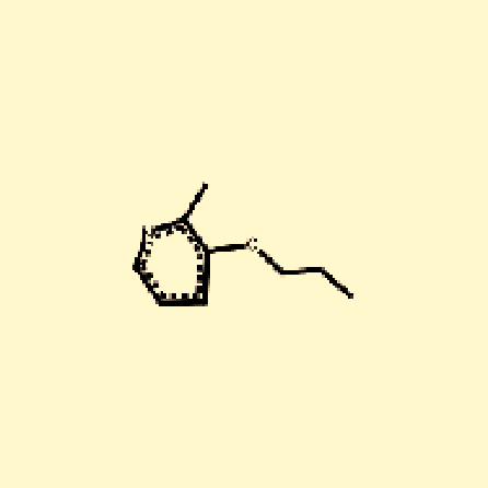 CCCOc1cccnc1C